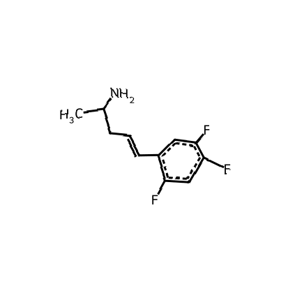 CC(N)CC=Cc1cc(F)c(F)cc1F